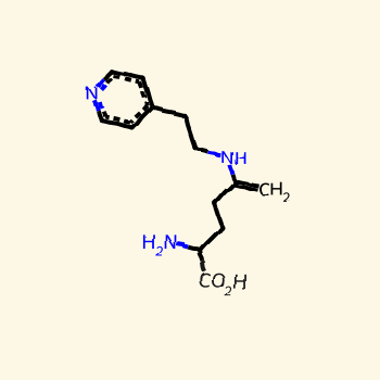 C=C(CCC(N)C(=O)O)NCCc1ccncc1